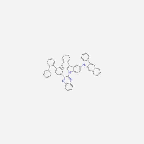 c1ccc(-c2ccccc2-c2ccc(-c3nc4ccccc4nc3-n3c4ccc(-n5c6ccccc6c6cc7ccccc7cc65)cc4c4c5ccccc5ccc43)cc2)cc1